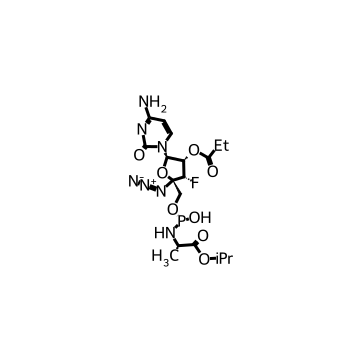 CCC(=O)O[C@H]1[C@H](n2ccc(N)nc2=O)O[C@@](COP(O)N[C@@H](C)C(=O)OC(C)C)(N=[N+]=[N-])[C@H]1F